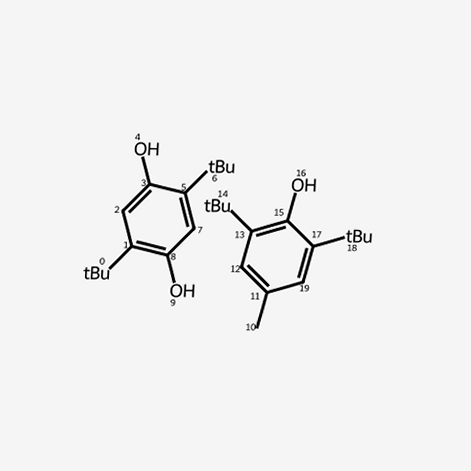 CC(C)(C)c1cc(O)c(C(C)(C)C)cc1O.Cc1cc(C(C)(C)C)c(O)c(C(C)(C)C)c1